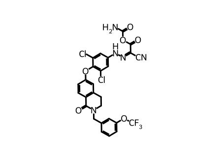 N#CC(=NNc1cc(Cl)c(Oc2ccc3c(c2)CCN(Cc2cccc(OC(F)(F)F)c2)C3=O)c(Cl)c1)C(=O)OC(N)=O